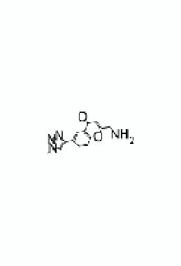 Cn1cc(-c2ccc3oc(CN)cc(=O)c3c2)nn1